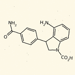 NC(=O)c1ccc(C2CN(C(=O)O)c3cccc(N)c32)cc1